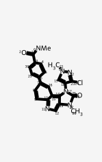 CNC(=O)c1ccc(-c2ccc3ncc4c(c3c2)n(-c2cn(C)nc2Cl)c(=O)n4C)cc1